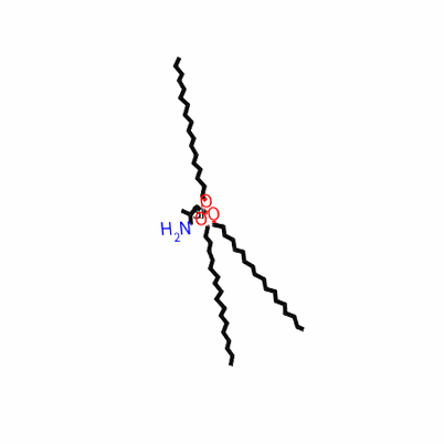 CCCCCCCCCCCCCCCCCCO[Si](CC(C)CN)(OCCCCCCCCCCCCCCCCCC)OCCCCCCCCCCCCCCCCCC